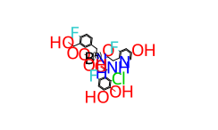 O=C(NC(C(=O)N[C@H]1Cc2ccc(F)c(C(=O)O)c2OB1O)c1ncc(O)cc1F)c1c(F)cc(O)c(O)c1Cl